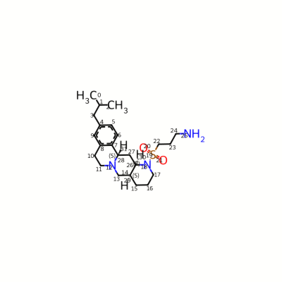 CC(C)Cc1ccc2c(c1)CCN1C[C@@H]3CCCN(S(=O)(=O)CCCN)[C@@H]3C[C@@H]21